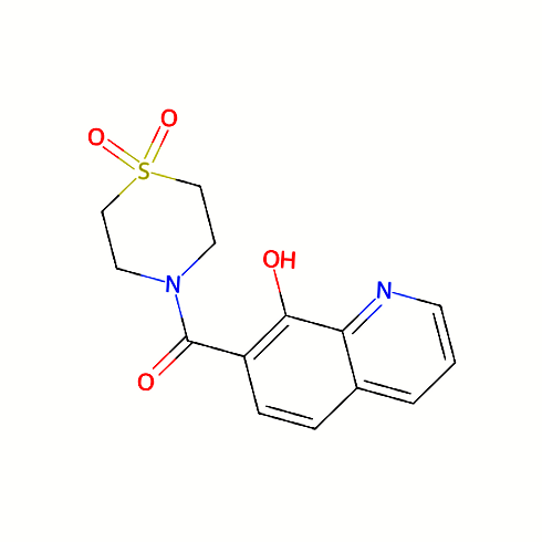 O=C(c1ccc2cccnc2c1O)N1CCS(=O)(=O)CC1